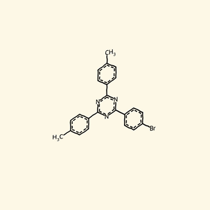 Cc1ccc(-c2nc(-c3ccc(C)cc3)nc(-c3ccc(Br)cc3)n2)cc1